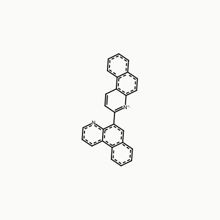 C1=Cc2c(ccc3ccccc23)[N+]=C1c1cc2ccccc2c2cccnc12